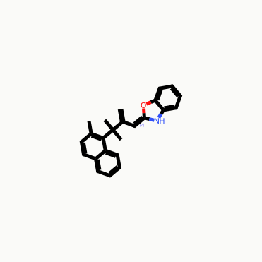 C=C(/C=C1/Nc2ccccc2O1)C(C)(C)c1c(C)ccc2ccccc12